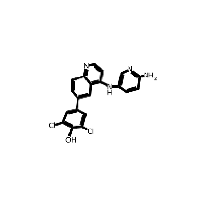 Nc1ccc(Nc2ccnc3ccc(-c4cc(Cl)c(O)c(Cl)c4)cc23)cn1